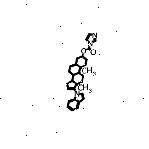 C[C@]12CCC(OC(=O)n3ccnc3)CC1=CCC1C2CC[C@]2(C)C(n3ccc4ccccc43)=CCC12